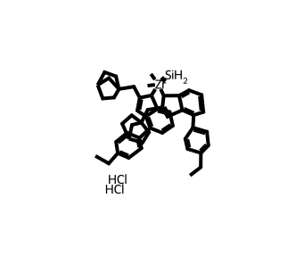 CCc1ccc(-c2cccc3c2C=C(CC24CCC(CC2)C4)[CH]3[Zr]([CH3])([CH3])(=[SiH2])[CH]2C(CC34CCC(CC3)C4)=Cc3c(-c4ccc(CC)cc4)cccc32)cc1.Cl.Cl